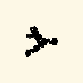 COc1cc(Cc2c(-c3ccc(CCN4CCCC4)cc3)sc3cc(OCc4ccccc4)ccc23)ccc1CN1CCOCC1